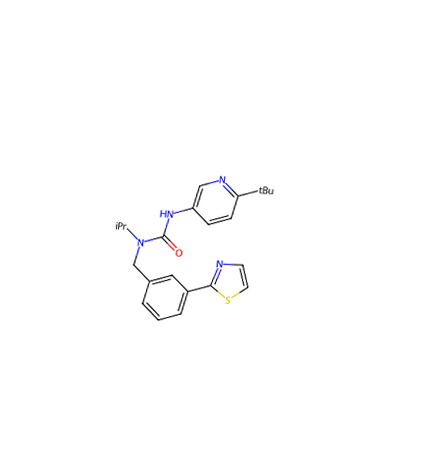 CC(C)N(Cc1cccc(-c2nccs2)c1)C(=O)Nc1ccc(C(C)(C)C)nc1